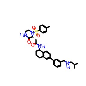 Cc1ccc(S(=O)(=O)N2CCNC(=O)[C@H]2CC(=O)N[C@@H]2CCCc3cc(-c4cccc(CNCC(C)C)c4)ccc32)cc1